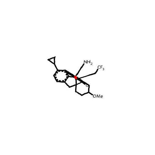 COC1CCC2(CC1)Cc1ccc(C3CC3)cc1C21N=C(N)N(CC(F)(F)F)C1=O